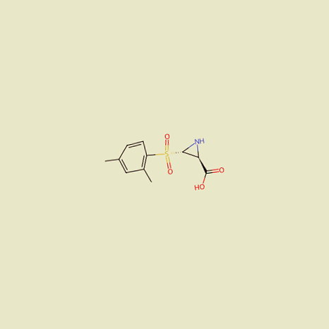 Cc1ccc(S(=O)(=O)[C@@H]2N[C@H]2C(=O)O)c(C)c1